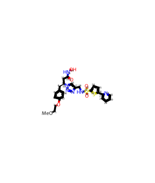 COCCOc1ccc(C[C@@H](CC(=O)NO)n2cc(CNS(=O)(=O)c3ccc(-c4ccccn4)s3)nn2)cc1